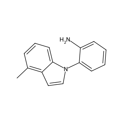 Cc1cccc2c1ccn2-c1ccccc1N